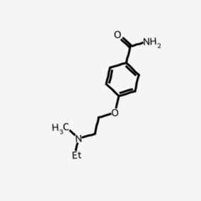 CCN(C)CCOc1ccc(C(N)=O)cc1